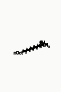 CCCCCCCCCCCCCCCCCC[Si](C)C